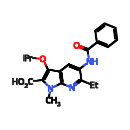 CCc1nc2c(cc1NC(=O)c1ccccc1)c(OC(C)C)c(C(=O)O)n2C